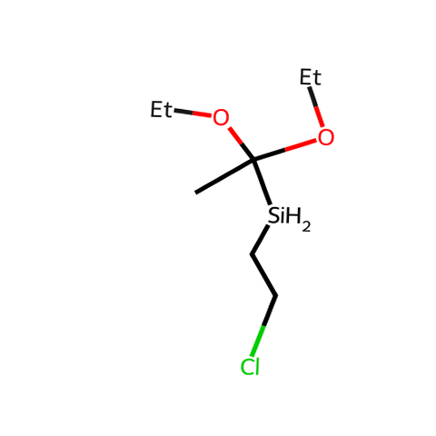 CCOC(C)(OCC)[SiH2]CCCl